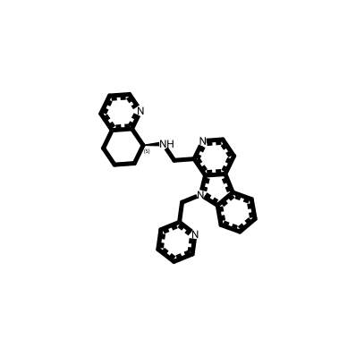 c1ccc(Cn2c3ccccc3c3ccnc(CN[C@H]4CCCc5cccnc54)c32)nc1